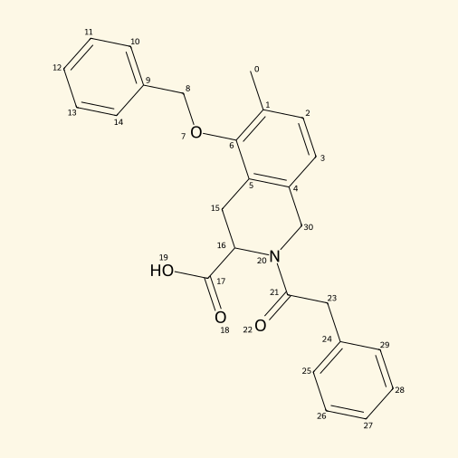 Cc1ccc2c(c1OCc1ccccc1)CC(C(=O)O)N(C(=O)Cc1ccccc1)C2